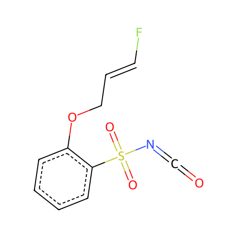 O=C=NS(=O)(=O)c1ccccc1OCC=CF